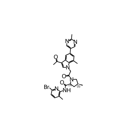 CC(=O)c1cn(CC(=O)N2C[C@@H](C)C[C@H]2C(=O)Nc2nc(Br)ccc2C)c2c(C)cc(-c3cnc(C)nc3)cc12